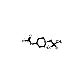 CC(C)(F)CN1CCC(NC(=O)O)CC1